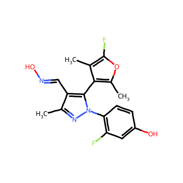 Cc1nn(-c2ccc(O)cc2F)c(-c2c(C)oc(F)c2C)c1C=NO